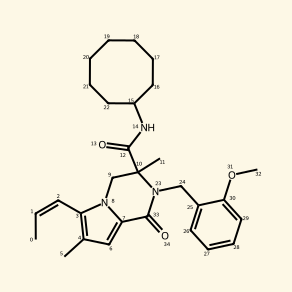 C/C=C\c1c(C)cc2n1CC(C)(C(=O)NC1CCCCCCC1)N(Cc1ccccc1OC)C2=O